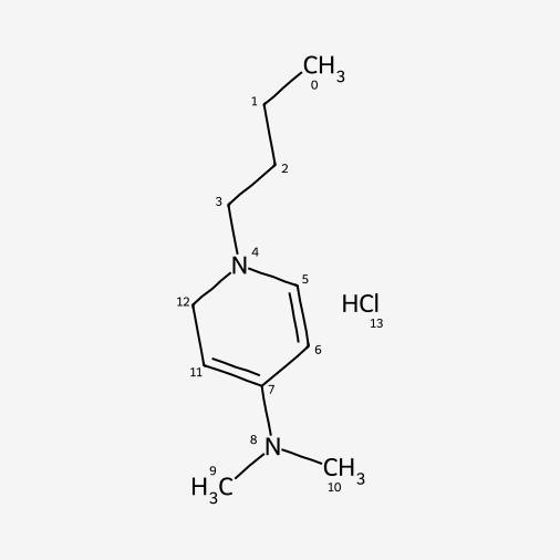 CCCCN1C=CC(N(C)C)=CC1.Cl